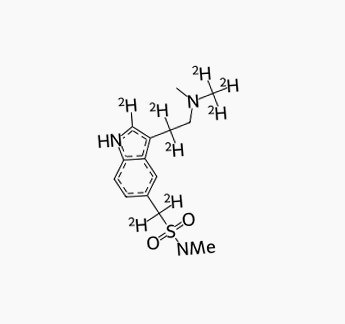 [2H]c1[nH]c2ccc(C([2H])([2H])S(=O)(=O)NC)cc2c1C([2H])([2H])CN(C)C([2H])([2H])[2H]